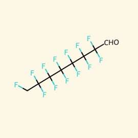 O=CC(F)(F)C(F)(F)C(F)(F)C(F)(F)C(F)(F)C(F)(F)CF